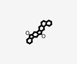 O=c1c2ccccc2c2cc3c(=O)c4cc5c(ccc6ccccc65)cc4c3cc12